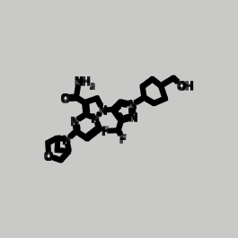 NC(=O)C1=C2N=C(N3C4COCC3C4)C=CN2N(c2cn(C3CCC(CO)CC3)nc2C(F)F)C1